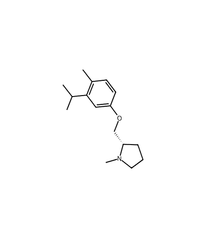 Cc1ccc(OC[C@@H]2CCCN2C)cc1C(C)C